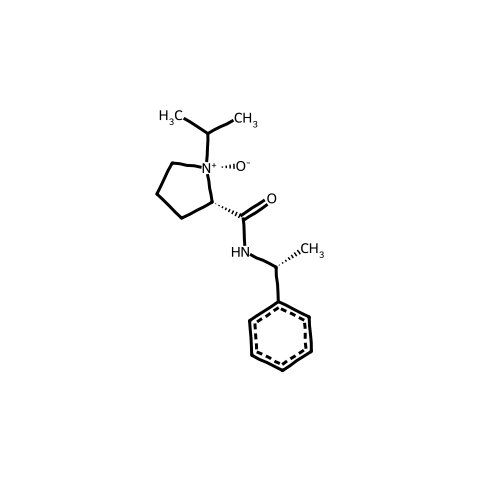 CC(C)[N@+]1([O-])CCC[C@H]1C(=O)N[C@H](C)c1ccccc1